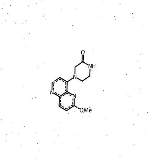 COc1ccc2nccc(N3CCNC(=O)C3)c2n1